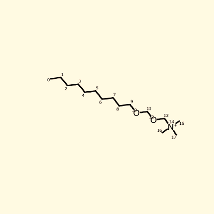 CCCCCCCCCCOCOC[N+](C)(C)C